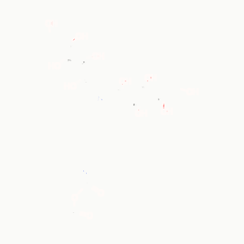 O=C(NCc1ccc(CN(C[C@H](O)[C@@H](O)[C@H](O)[C@H](O)CO)C[C@H](O)[C@@H](O)[C@H](O)[C@H](O)CO)cc1)OC(=O)C(F)(F)F